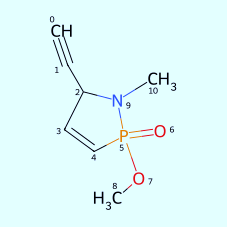 C#CC1C=CP(=O)(OC)N1C